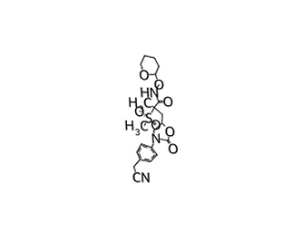 CC(CC1CN(c2ccc(CC#N)cc2)C(=O)O1)(C(=O)NOC1CCCCO1)S(C)(=O)=O